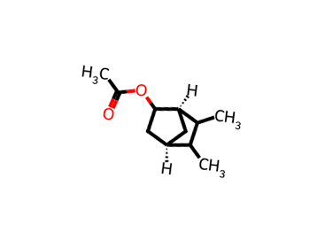 CC(=O)OC1C[C@H]2C[C@@H]1C(C)C2C